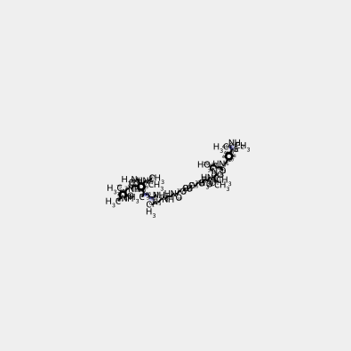 CCN(CCNCCNC(=O)COOOOCCOCC(=O)N[C@H](C(=O)N1CC(O)CC1C(=O)NCc1ccc(/C(SC)=C(\C)N)cc1)C(C)(C)C)/C(N)=C/C=C(\C)c1cc(NC(C)C)c(CN)c(C(=O)NCc2c(C)cc(C)[nH]c2=O)c1